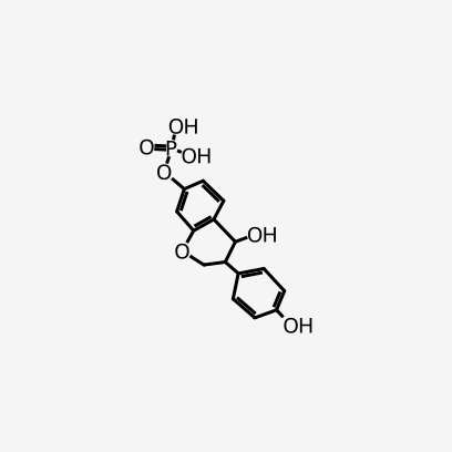 O=P(O)(O)Oc1ccc2c(c1)OCC(c1ccc(O)cc1)C2O